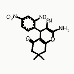 CC1(C)CC(=O)C2=C(C1)OC(N)=C(C#N)C2c1ccc([N+](=O)[O-])cc1[N+](=O)[O-]